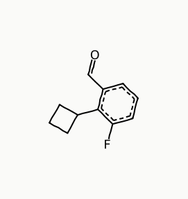 O=Cc1cccc(F)c1C1CCC1